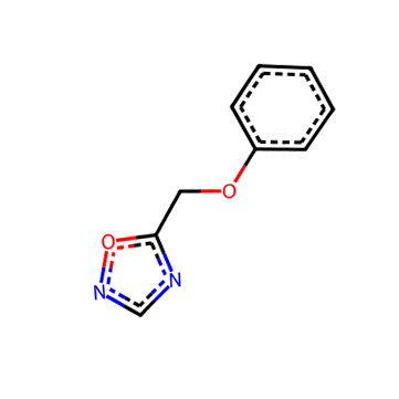 c1ccc(OCc2ncno2)cc1